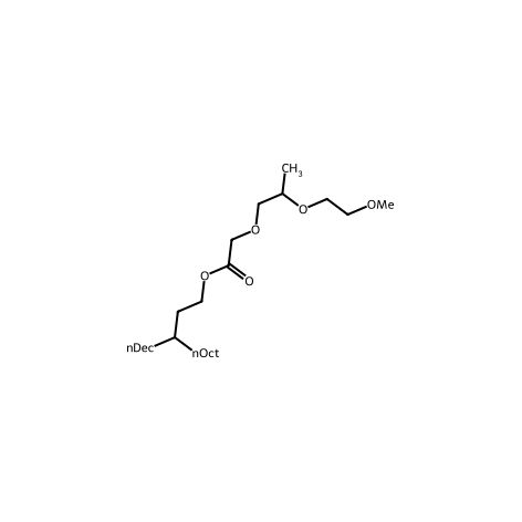 CCCCCCCCCCC(CCCCCCCC)CCOC(=O)COCC(C)OCCOC